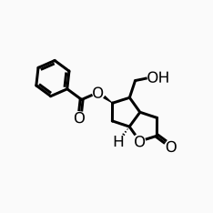 O=C1CC2C(CO)[C@H](OC(=O)c3ccccc3)C[C@@H]2O1